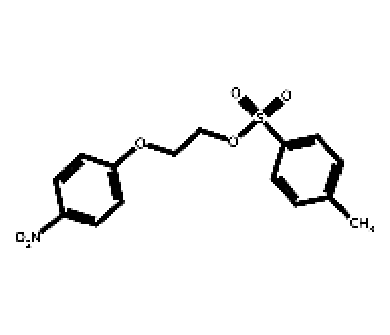 Cc1ccc(S(=O)(=O)OCCOc2ccc([N+](=O)[O-])cc2)cc1